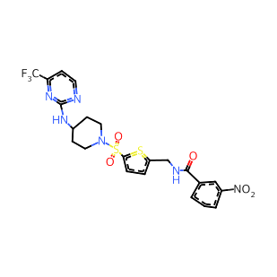 O=C(NCc1ccc(S(=O)(=O)N2CCC(Nc3nccc(C(F)(F)F)n3)CC2)s1)c1cccc([N+](=O)[O-])c1